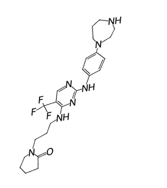 O=C1CCCCN1CCCNc1nc(Nc2ccc(N3CCCNCC3)cc2)ncc1C(F)(F)F